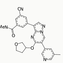 CNC(=O)c1cc(C#N)cc(-c2cnn3cc(-c4cncc(C)c4)c(OC4CCOC4)nc23)c1